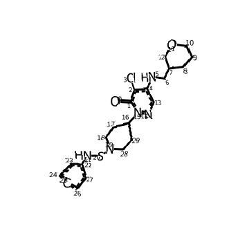 O=c1c(Cl)c(NCC2CCCOC2)cnn1C1CCN(SNc2ccccc2)CC1